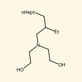 CCCCCCCCC(CC)CN(CCO)CCO